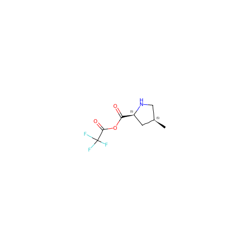 C[C@@H]1CN[C@H](C(=O)OC(=O)C(F)(F)F)C1